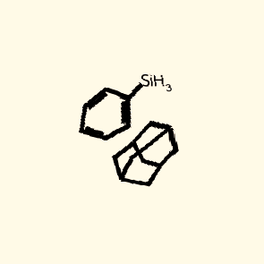 C1C2CC3CC1CC(C2)C3.[SiH3]c1ccccc1